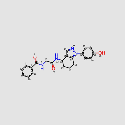 O=C(CNC(=O)c1ccccc1)NC1CCCc2c1cnn2-c1ccc(O)cc1